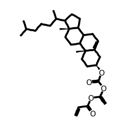 C=CC(=O)OC(=C)OC(=O)O[C@H]1CC[C@@]2(C)C(=CCC3C4CCC(C(C)CCCC(C)C)[C@@]4(C)CCC32)C1